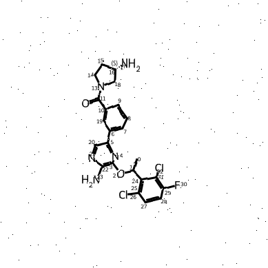 CC(Oc1nc(-c2cccc(C(=O)N3CC[C@H](N)C3)c2)cnc1N)c1c(Cl)ccc(F)c1Cl